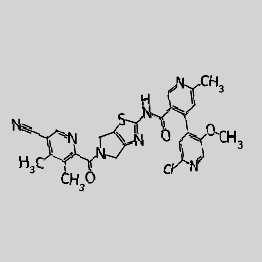 COc1cnc(Cl)cc1-c1cc(C)ncc1C(=O)Nc1nc2c(s1)CN(C(=O)c1ncc(C#N)c(C)c1C)C2